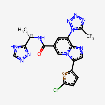 C[C@H](NC(=O)c1cc(-n2nnnc2C(F)(F)F)c2ncc(-c3ccc(Cl)s3)n2c1)c1nnc[nH]1